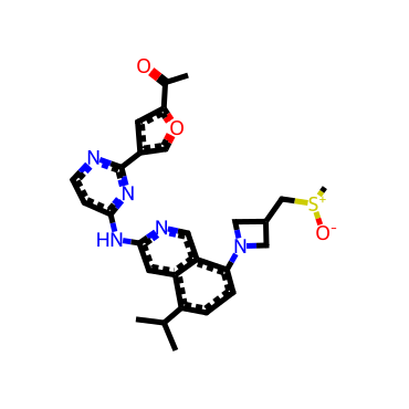 CC(=O)c1cc(-c2nccc(Nc3cc4c(C(C)C)ccc(N5CC(C[S+](C)[O-])C5)c4cn3)n2)co1